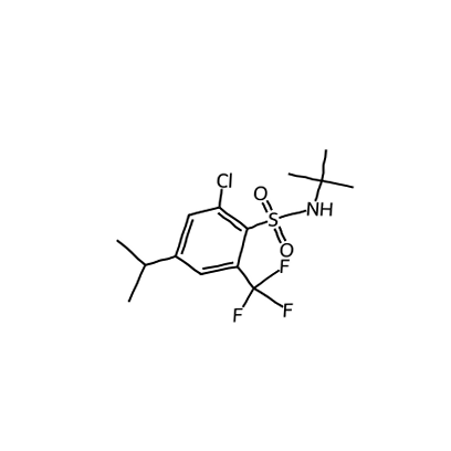 CC(C)c1cc(Cl)c(S(=O)(=O)NC(C)(C)C)c(C(F)(F)F)c1